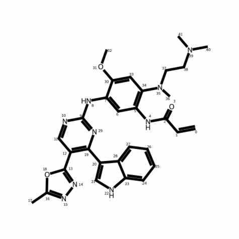 C=CC(=O)Nc1cc(Nc2ncc(-c3nnc(C)o3)c(-c3c[nH]c4ccccc34)n2)c(OC)cc1N(C)CCN(C)C